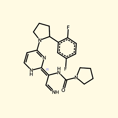 N=C/C(NC(=O)N1CCCC1)=C1/N=C(N2CCCC2c2cc(F)ccc2F)C=CN1